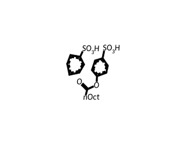 CCCCCCCCC(=O)Oc1ccc(S(=O)(=O)O)cc1.O=S(=O)(O)c1ccccc1